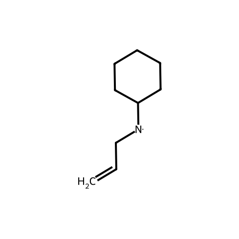 C=CC[N]C1CCCCC1